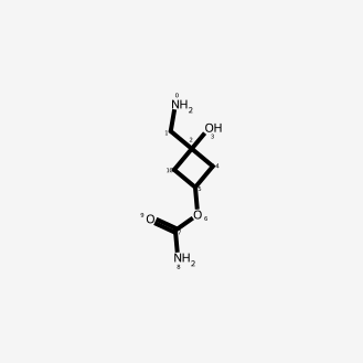 NCC1(O)CC(OC(N)=O)C1